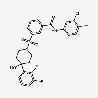 O=C(Nc1ccc(F)c(Cl)c1)c1cccc(S(=O)(=O)N2CCC(O)(c3cccc(F)c3F)CC2)c1